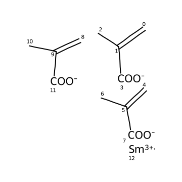 C=C(C)C(=O)[O-].C=C(C)C(=O)[O-].C=C(C)C(=O)[O-].[Sm+3]